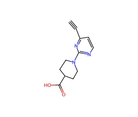 C#Cc1ccnc(N2CCC(C(=O)O)CC2)n1